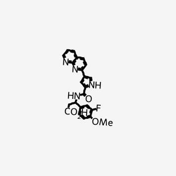 COc1ccc(C(CC(=O)O)NC(=O)c2cc(-c3ccc4cccnc4n3)c[nH]2)cc1F